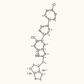 Clc1ccc(-c2ccc(-c3nc4nc(OC5CO[C@@H]6CCO[C@H]56)[nH]c4cc3Cl)cc2)cc1